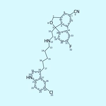 N#Cc1ccc2c(c1)COC2(CCNCCCCCc1c[nH]c2ccc(Cl)cc12)c1ccc(F)cc1